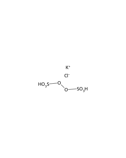 O=S(=O)(O)OOS(=O)(=O)O.[Cl-].[K+]